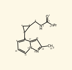 CCCC(=O)NCC1CC1c1cccn2nc(C)cc12